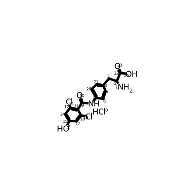 Cl.NC(Cc1ccc(NC(=O)c2c(Cl)cc(O)cc2Cl)cc1)C(=O)O